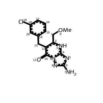 COCc1[nH]c2nc(N)nn2c(=O)c1Cc1cccc(Cl)c1